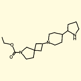 CCOC(=O)N1CCC2(CC(N3CCC(C4CCCN4)CC3)C2)C1